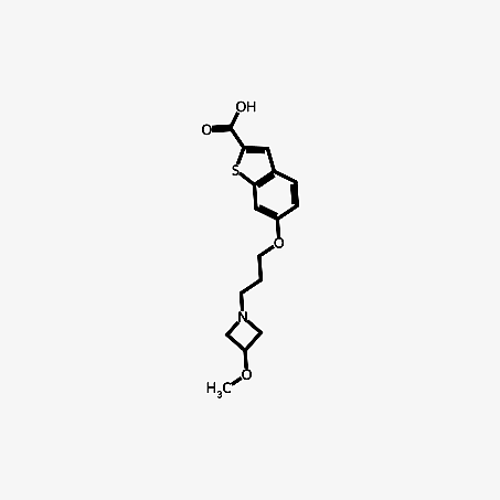 COC1CN(CCCOc2ccc3cc(C(=O)O)sc3c2)C1